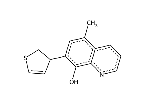 Cc1cc(C2C=CSC2)c(O)c2ncccc12